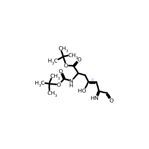 CC(C)(C)OC(=O)NC(C/C(O)=C/C(=N)C=O)C(=O)OC(C)(C)C